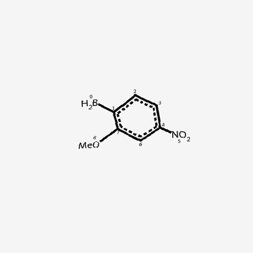 Bc1ccc([N+](=O)[O-])cc1OC